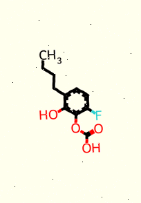 CCCCc1ccc(F)c(OC(=O)O)c1O